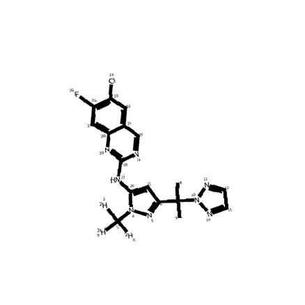 [2H]C([2H])([2H])n1nc(C(C)(C)n2nccn2)cc1Nc1ncc2cc(Cl)c(F)cc2n1